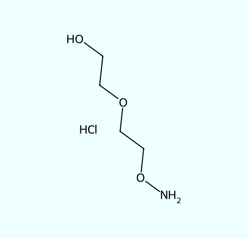 Cl.NOCCOCCO